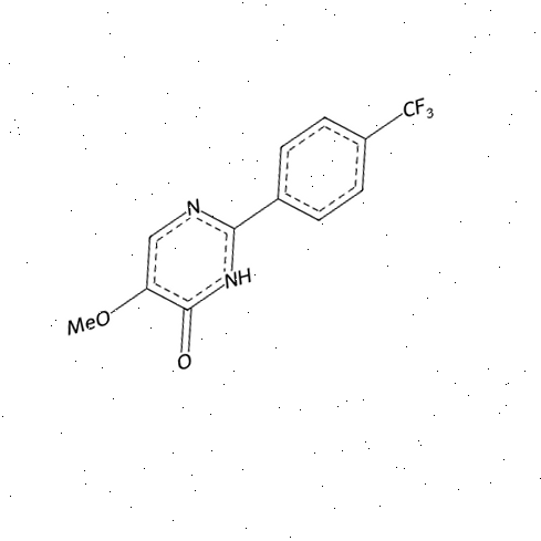 COc1cnc(-c2ccc(C(F)(F)F)cc2)[nH]c1=O